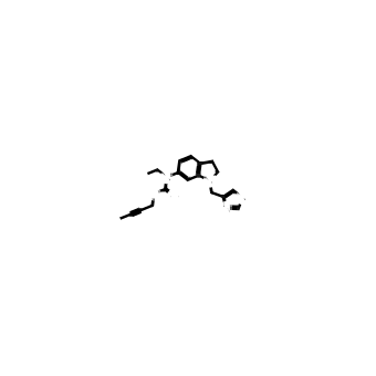 CC#CCOC(=O)N(CC)c1ccc2c(c1)N(Cc1c[nH]cn1)CC2